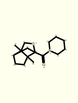 CC12COC3(C(=O)N4CCCCC4)CC1CCC32C